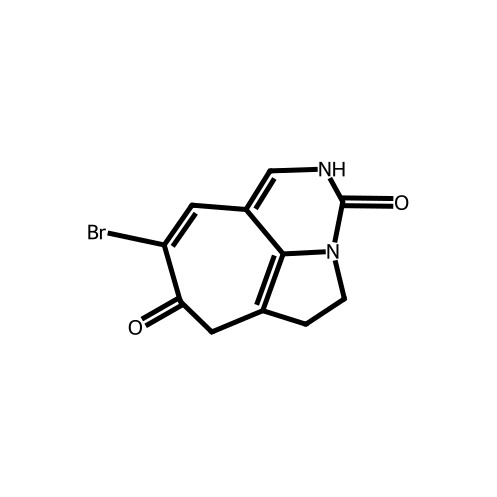 O=C1CC2=C3C(=CNC(=O)N3CC2)C=C1Br